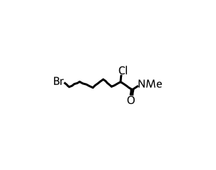 CNC(=O)C(Cl)CCCCCBr